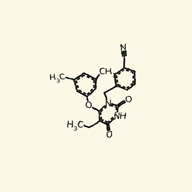 CCc1c(Oc2cc(C)cc(C)c2)n(Cc2cccc(C#N)c2)c(=O)[nH]c1=O